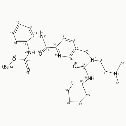 CN(C)CCN(Cc1ccc(C(=O)Nc2ccccc2NC(=O)OC(C)(C)C)nc1)C(=O)NC1CCCCC1